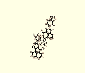 CCC(NC(C)N1C(=O)c2cccc3cccc(c23)C1=O)N(C)C(C)N1C(=O)c2cccc3cc(N4CCN(C)CC4)cc(c23)C1=O